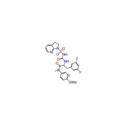 COc1ccc(N(C)C(=O)C(Cc2cc(F)cc(F)c2)NC(=O)NS(=O)(=O)N2CCc3cccnc32)cn1